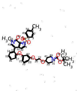 Cc1ccc(S(=O)(=O)n2ccc3c(-c4ccccc4Oc4cccc(OCCOC5CCN(C(=O)OC(C)(C)C)CC5)c4)cn(C)c(=O)c32)cc1